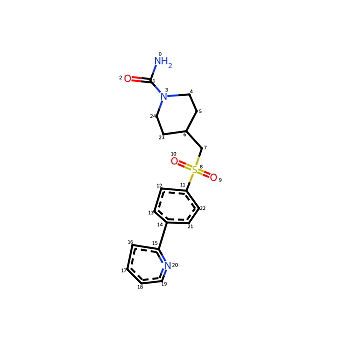 NC(=O)N1CCC(CS(=O)(=O)c2ccc(-c3ccccn3)cc2)CC1